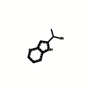 CC(C)C(C)c1cc2ncccc2[nH]1